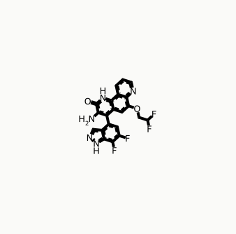 Nc1c(-c2cc(F)c(F)c3[nH]ncc23)c2cc(OCC(F)F)c3ncccc3c2[nH]c1=O